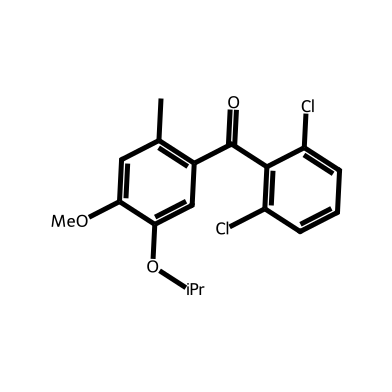 COc1cc(C)c(C(=O)c2c(Cl)cccc2Cl)cc1OC(C)C